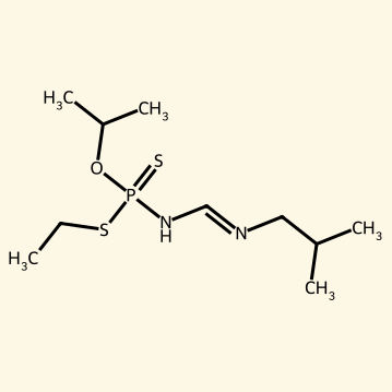 CCSP(=S)(NC=NCC(C)C)OC(C)C